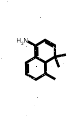 CC1CC=CC2=C(N)C=CC(C)(C)C21